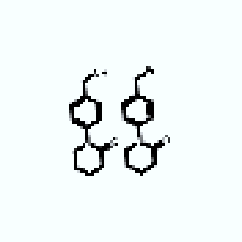 O=C1CCCCN1c1ccc(CBr)cc1.O=C1CCCCN1c1ccc(CO)cc1